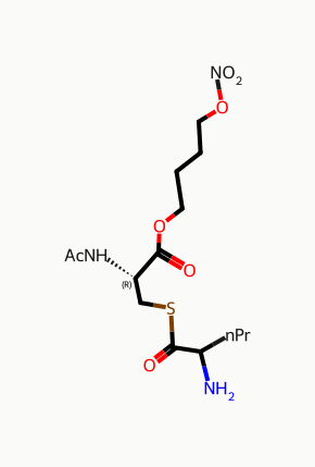 CCCC(N)C(=O)SC[C@H](NC(C)=O)C(=O)OCCCCO[N+](=O)[O-]